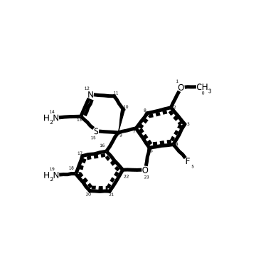 COc1cc(F)c2c(c1)[C@]1(CCN=C(N)S1)c1cc(N)ccc1O2